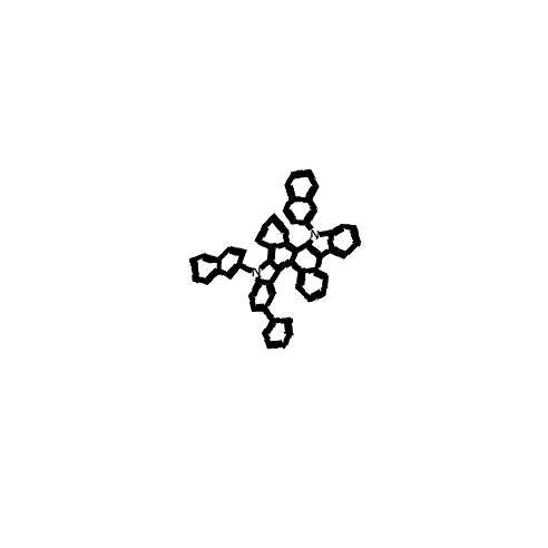 c1ccc(-c2ccc3c(c2)c2c4c5ccccc5c5c6ccccc6n(-c6ccc7ccccc7c6)c5c4c4ccccc4c2n3-c2ccc3ccccc3c2)cc1